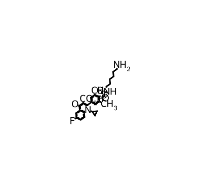 Cc1cc(-c2c(C(=O)O)c(=O)c3cc(F)ccc3n2C2CC2)cc(C)c1S(=O)(=O)NCCCCCCN